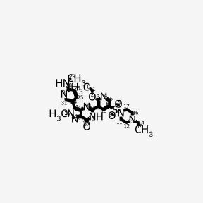 CCOc1ncc(S(=O)(=O)N2CCN(CC)CC2)cc1-c1nc2c(-c3ccc(NC)nc3)n(C)nc2c(=O)[nH]1